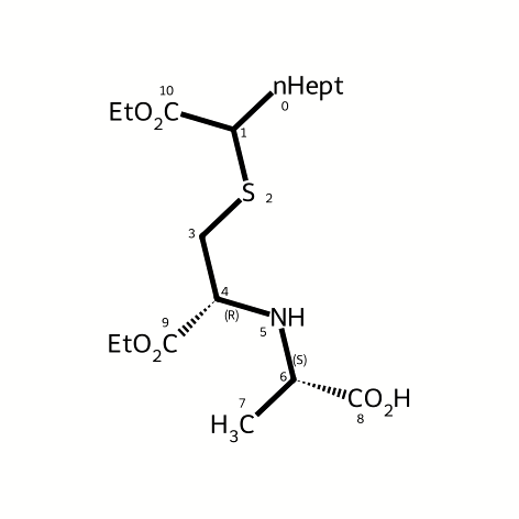 CCCCCCCC(SC[C@H](N[C@@H](C)C(=O)O)C(=O)OCC)C(=O)OCC